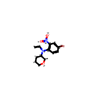 CCN(c1ccc(Br)cc1[N+](=O)[O-])C1CCCOC1